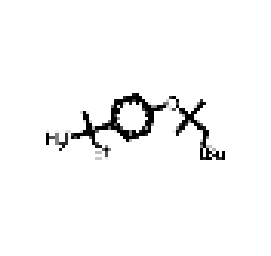 CCC(C)(P)c1ccc(OC(C)(C)CC(C)(C)C)cc1